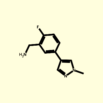 Cn1cc(-c2ccc(F)c(CN)c2)cn1